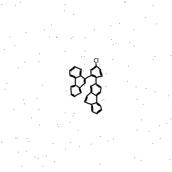 Clc1ccc(-c2ccc3c(ccc4ccccc43)c2)c(-c2cc3ccccc3c3ccccc23)c1